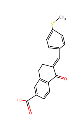 CSc1ccc(/C=C2\CCc3cc(C(=O)O)ccc3C2=O)cc1